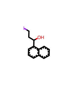 OC(CCI)c1cccc2ccccc12